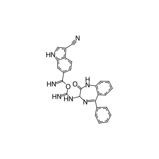 N#Cc1c[nH]c2cc(C(=N)OC(=N)NC3N=C(c4ccccc4)c4ccccc4NC3=O)ccc12